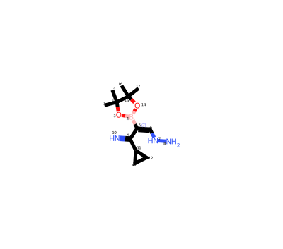 CC1(C)OB(/C(=C/NN)C(=N)C2CC2)OC1(C)C